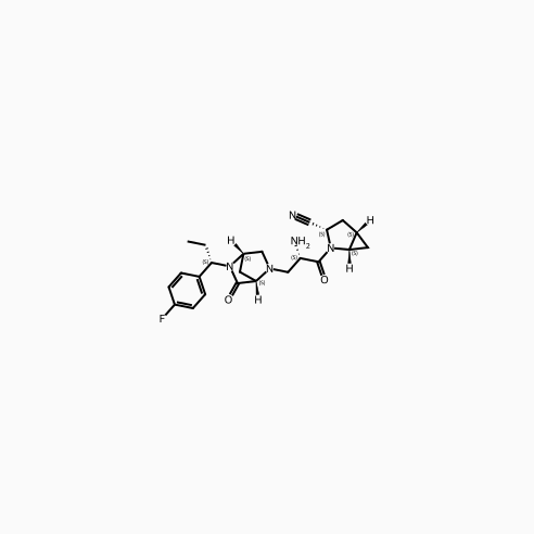 CC[C@@H](c1ccc(F)cc1)N1C(=O)[C@@H]2C[C@H]1CN2C[C@H](N)C(=O)N1[C@H](C#N)C[C@@H]2C[C@@H]21